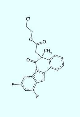 CC1(CC(=O)OCCCl)C(=O)n2c(cc3c(F)cc(F)cc32)-c2ccccc21